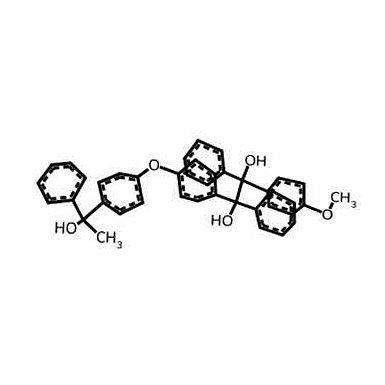 COc1ccc(C(O)(c2ccccc2)C(O)(c2ccccc2)c2ccc(Oc3ccc(C(C)(O)c4ccccc4)cc3)cc2)cc1